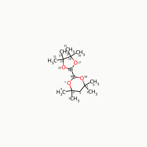 CC1(C)CC(C)(C)OB(B2OC(C)(C)C(C)(C)O2)O1